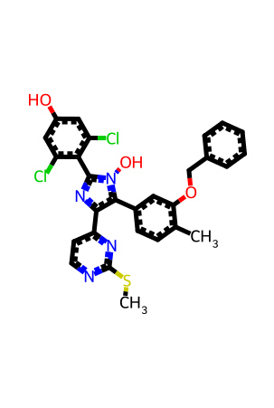 CSc1nccc(-c2nc(-c3c(Cl)cc(O)cc3Cl)n(O)c2-c2ccc(C)c(OCc3ccccc3)c2)n1